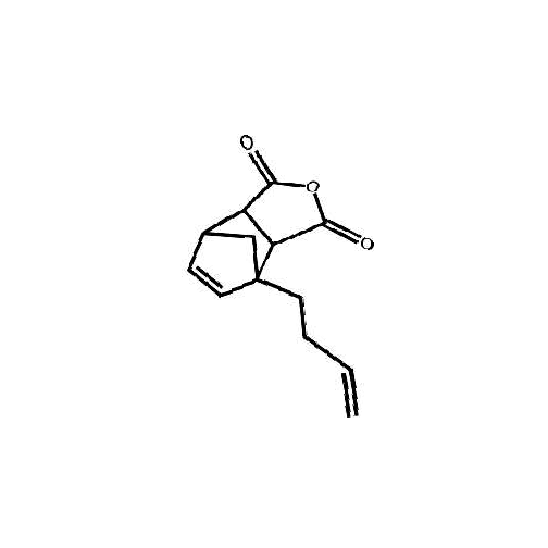 C=CCCC12C=CC(C1)C1C(=O)OC(=O)C12